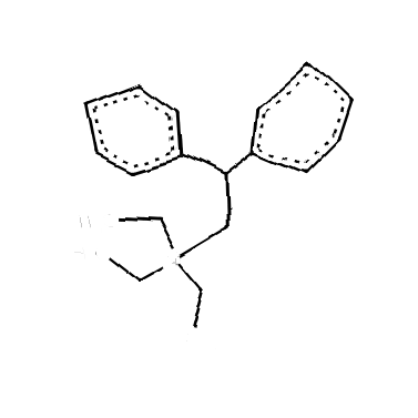 CC[Si](CC)(CC)CC(c1ccccc1)c1ccccc1